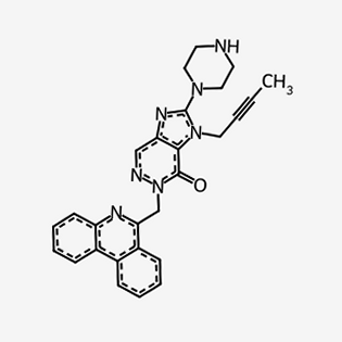 CC#CCn1c(N2CCNCC2)nc2cnn(Cc3nc4ccccc4c4ccccc34)c(=O)c21